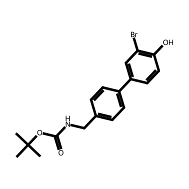 CC(C)(C)OC(=O)NCc1ccc(-c2ccc(O)c(Br)c2)cc1